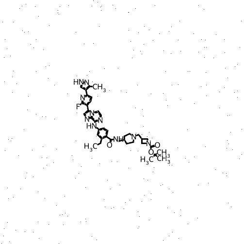 CCc1cc(Nc2nccn3c(-c4ccc(-c5c[nH]nc5C)nc4F)cnc23)ccc1C(=O)NCC1CCN(CC2CN(C(=O)OC(C)(C)C)C2)CC1